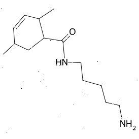 CC1C=CC(C)C(C(=O)NCCCCCN)C1